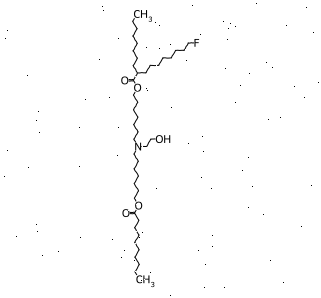 CCCCCCCCCC(=O)OCCCCCCCN(CCO)CCCCCCCOC(=O)C(CCCCCCCC)CCCCCCCCF